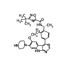 COc1cc2c(cc1N1CCNCC1)[nH]c1ncnc(-c3ccc([C@@H](C)NC(=O)c4nc(C(C)(C)C)no4)c(C)c3)c12